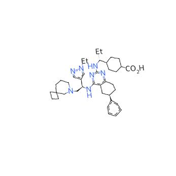 CC[C@@H](Nc1nc2c(c(N[C@@H](CN3CCCC4(CCC4)C3)c3cnn(CC)c3)n1)C[C@H](c1ccccc1)CC2)C1CCC(C(=O)O)CC1